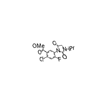 COC(=O)c1cc(N2C(=O)CN(C(C)C)C2=O)c(F)cc1Cl